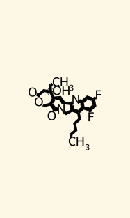 CCCCCc1c2c(nc3cc(F)cc(F)c13)-c1cc3c(c(=O)n1C2)COC(=O)C[C@]3(O)CC